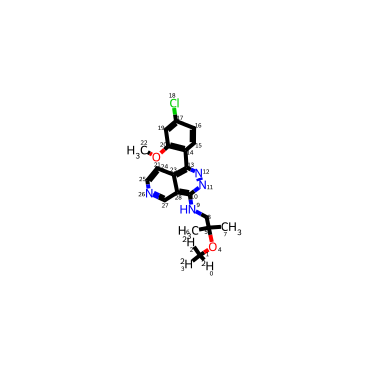 [2H]C([2H])([2H])OC(C)(C)CNc1nnc(-c2ccc(Cl)cc2OC)c2ccncc12